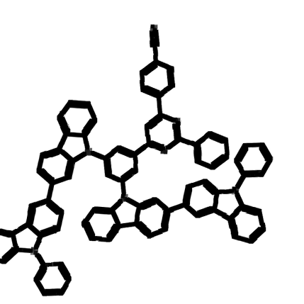 N#Cc1ccc(-c2cc(-c3cc(-n4c5ccccc5c5ccc(-c6ccc7c(c6)c6ccccc6n7-c6ccccc6)cc54)cc(-n4c5ccccc5c5ccc(-c6ccc7c(c6)c6ccccc6n7-c6ccccc6)cc54)c3)nc(-c3ccccc3)n2)cc1